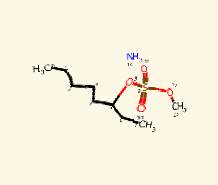 CCCCCC(CC)OS(=O)(=O)OC.N